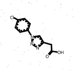 O=C(O)Cc1cn(-c2ccc(Cl)cc2)nn1